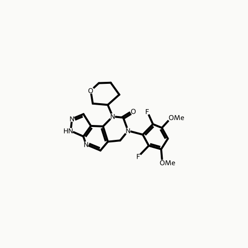 COc1cc(OC)c(F)c(N2Cc3cnc4[nH]ncc4c3N(C3CCCOC3)C2=O)c1F